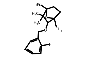 CC(C)C12CCC(C)(O1)C(OCc1ccccc1F)C2(C)C